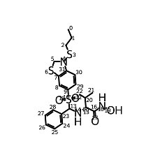 CCCSN1CSc2cc(S(=O)(=O)C(N[C@@H](C(=O)NO)C(C)C)c3ccccc3)ccc21